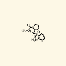 CC(C)(C)OC(=O)N1CCCCC1C(F)(F)S(=O)(=O)c1cccnc1N